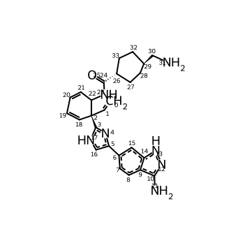 C=C[C@]1(c2nc(-c3ccc4c(N)n[nH]c4c3)c[nH]2)C=CC=CC1NC(=O)[C@H]1CC[C@H](CN)CC1